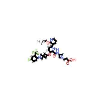 CCOc1ncccc1-c1ccc(OC2CC3(C2)CN(c2ccc(F)cc2C(F)(F)F)C3)c(C(=O)NC2CN(CCC(=O)O)C2)n1